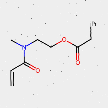 C=CC(=O)N(C)CCOC(=O)CC(C)C